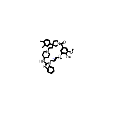 C/C=C/Cn1c(NC2CCN(CCC3(c4ccc(C)c(C)c4)CCN(C(=O)c4cc(OC)c(OC)c(OC)c4)C3)CC2)nc2ccccc21